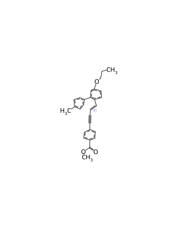 CCCOc1ccc(/C=C/C#Cc2ccc(C(=O)OC)cc2)c(-c2ccc(C)cc2)c1